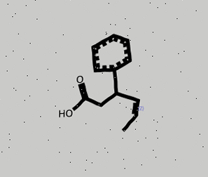 C/C=C\C(CC(=O)O)c1ccccc1